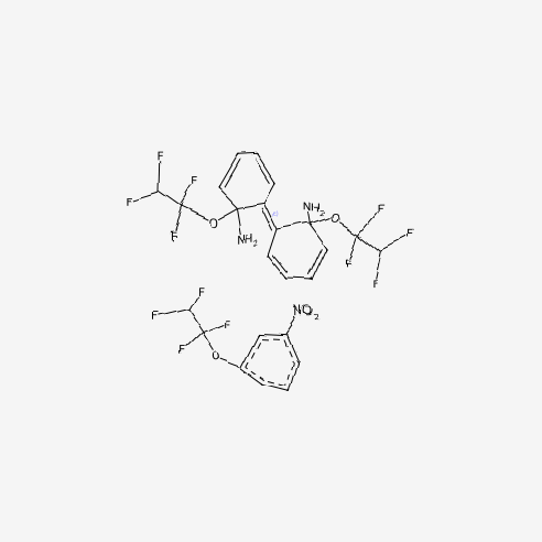 NC1(OC(F)(F)C(F)F)C=CC=C/C1=C1/C=CC=CC1(N)OC(F)(F)C(F)F.O=[N+]([O-])c1cccc(OC(F)(F)C(F)F)c1